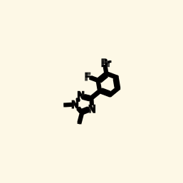 Cc1nc(-c2cccc(Br)c2F)nn1C